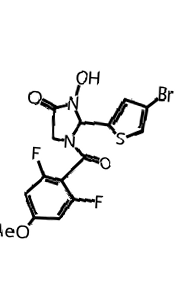 COc1cc(F)c(C(=O)N2CC(=O)N(O)C2c2cc(Br)cs2)c(F)c1